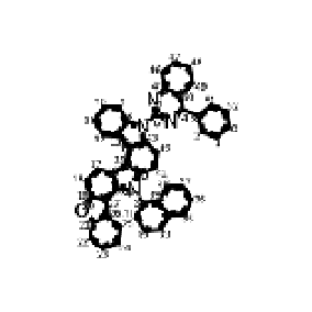 c1ccc(-c2nc(-n3c4ccccc4c4c5c6ccc7oc8ccccc8c7c6n(-c6cccc7ccccc67)c5ccc43)nc3ccccc23)cc1